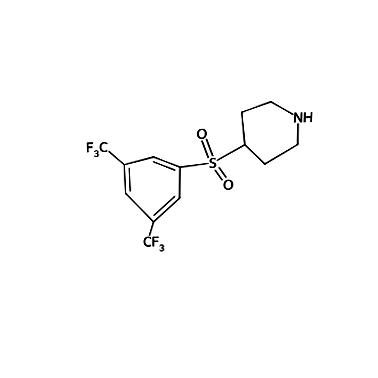 O=S(=O)(c1cc(C(F)(F)F)cc(C(F)(F)F)c1)C1CCNCC1